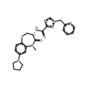 CN1C(=O)[C@@H](NC(=O)c2ncn(Cc3ccccn3)n2)CSc2ccc(N3CCCC3)cc21